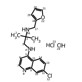 CC(C)(CNc1ccnc2cc(Cl)ccc12)NCc1ccco1.Cl.Cl